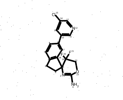 NC1=NC2(CCc3ccc(-c4cncc(Cl)c4)cc32)C(F)(F)CO1